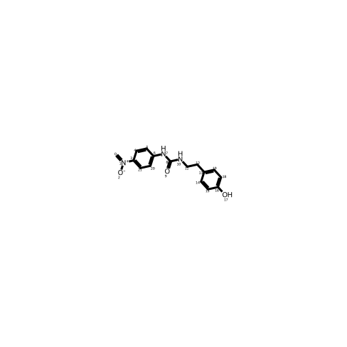 C=[N+]([O-])c1ccc(NC(=O)NCCc2ccc(O)cc2)cc1